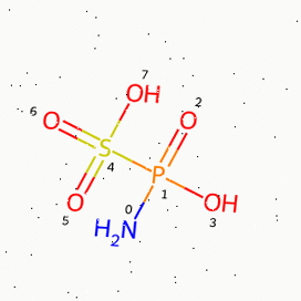 NP(=O)(O)S(=O)(=O)O